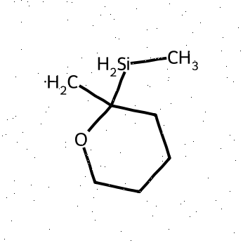 [CH2]C1([SiH2]C)CCCCO1